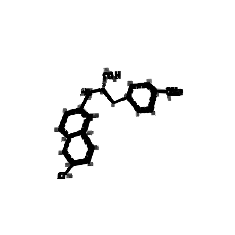 COc1ccc(C[C@H](Nc2ccc3cc(Cl)ccc3n2)C(=O)O)cc1